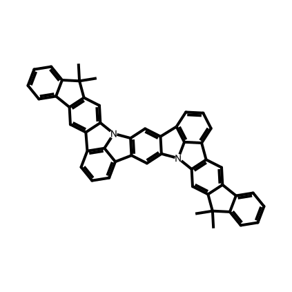 CC1(C)c2ccccc2-c2cc3c4cccc5c6cc7c(cc6n(c3cc21)c45)c1cccc2c3cc4c(cc3n7c21)C(C)(C)c1ccccc1-4